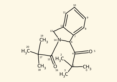 CC(C)(C)C(=O)C1c2ccccc2CN1C(=O)C(C)(C)C